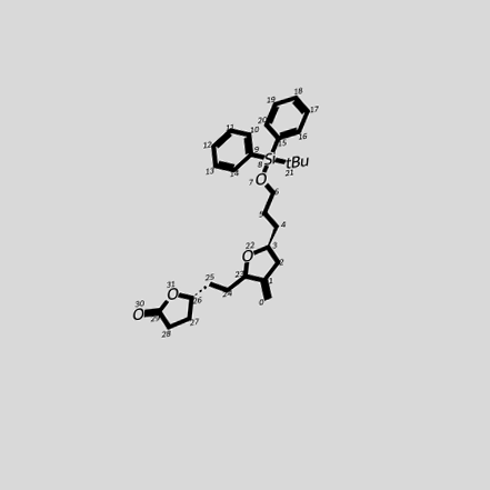 C=C1C[C@H](CCCO[Si](c2ccccc2)(c2ccccc2)C(C)(C)C)OC1CC[C@@H]1CCC(=O)O1